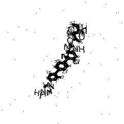 Cc1cc(N(C=N)N=N)ccc1-c1ccc(-c2nc3nc(OC4CO[C@@H]5CCO[C@H]45)[nH]c3cc2Cl)cc1